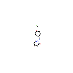 O=c1c(Cl)c(O)ccn1Cc1ccc(OC(F)(F)F)cc1